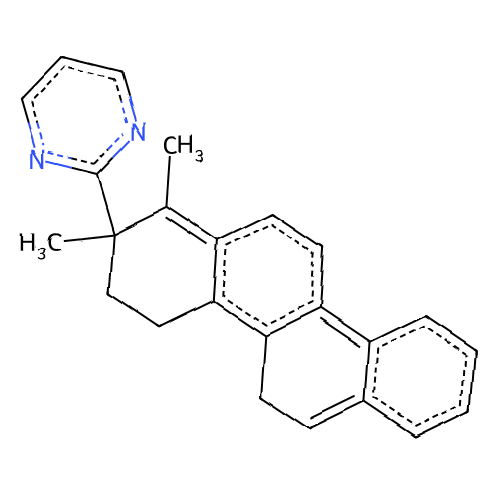 CC1=c2ccc3c(c2CCC1(C)c1ncccn1)CC=c1ccccc1=3